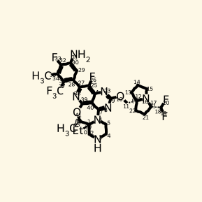 CC[C@]12CNCCN1c1nc(OC[C@]34CCCN3[C@H](C(F)F)CC4)nc3c(F)c(-c4cc(N)c(F)c(C)c4C(F)(F)F)nc(c13)O[C@H]2C